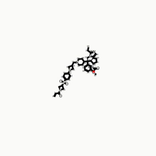 C=CC(=O)N1CC(S(=O)(=O)c2ccc(N3CC(CN4CCC([C@@](Cn5ccnc5CC)(c5cccc(F)c5)[C@H]5CCC[C@@H]5NC(=O)OC)CC4)C3)cc2)C1